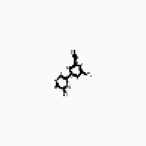 N#Cc1cc(F)cc(-c2cncc(Cl)n2)c1